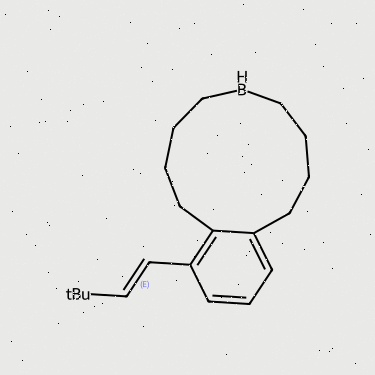 CC(C)(C)/C=C/c1cccc2c1CCCCBCCCC2